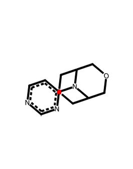 [c]1nccc(N2C3COCC2COC3)n1